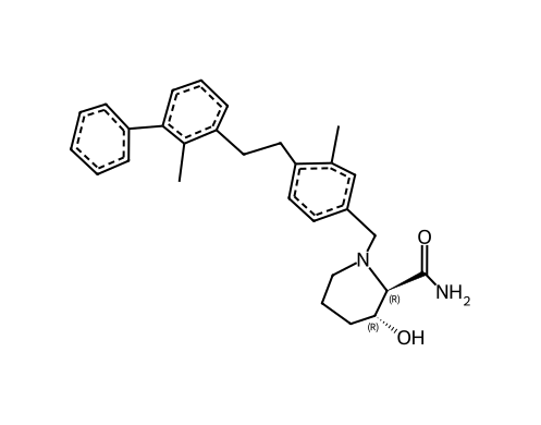 Cc1cc(CN2CCC[C@@H](O)[C@@H]2C(N)=O)ccc1CCc1cccc(-c2ccccc2)c1C